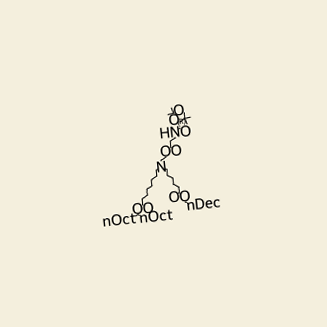 CCCCCCCCCCCOC(=O)CCCCCN(CCCCCCCC(=O)OC(CCCCCCCC)CCCCCCCC)CCOC(=O)CCNC(=O)[C@@H]1OC(C)(C)OCC1(C)C